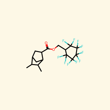 CC1C2CC(C(=O)OCC3C(F)(F)C(F)(F)C(F)(F)C(F)(F)C3(F)F)C(C2)C1C